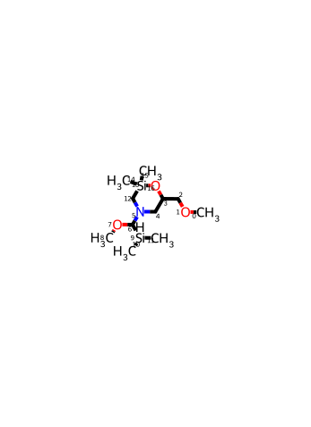 COCC1CN(C(OC)[SiH](C)C)C[Si](C)(C)O1